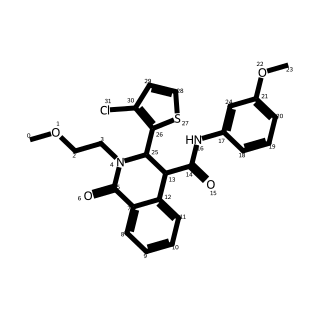 COCCN1C(=O)c2ccccc2C(C(=O)Nc2cccc(OC)c2)C1c1sccc1Cl